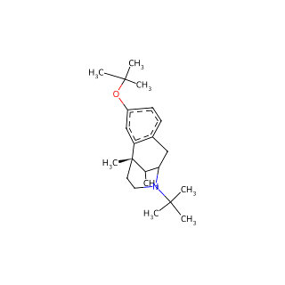 CC1C2Cc3ccc(OC(C)(C)C)cc3[C@@]1(C)CCN2C(C)(C)C